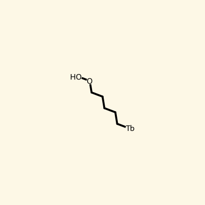 OOCCCC[CH2][Tb]